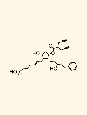 C#CCC(CC#C)C(=O)O[C@@H]1C[C@@H](O)[C@H](CC=CCCCC(=O)O)[C@H]1CC[C@@H](O)CCc1ccccc1